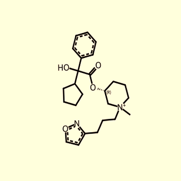 C[N+]1(CCCc2ccon2)CCC[C@@H](OC(=O)C(O)(c2ccccc2)C2CCCC2)C1